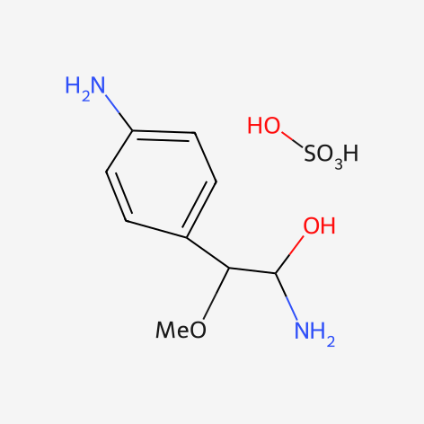 COC(c1ccc(N)cc1)C(N)O.O=S(=O)(O)O